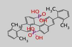 Cc1cccc(C)c1-c1ccc2c(-c3c(P(=O)(O)O)ccc4cc(-c5c(C)cccc5C)ccc34)c(P(=O)(O)O)ccc2c1